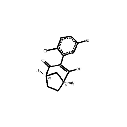 O=C1C(c2cc(Br)ccc2Cl)=C(O)[C@H]2CC[C@@H]1C2